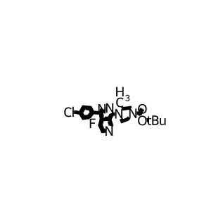 C[C@@H]1CN(C(=O)OC(C)(C)C)CCN1c1nnc(-c2ccc(Cl)cc2F)c2ccncc12